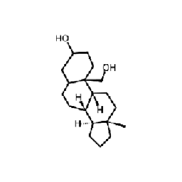 C[C@@]12CCC[C@H]1[C@@H]1CCC3CC(O)CC[C@]3(CO)[C@@H]1CC2